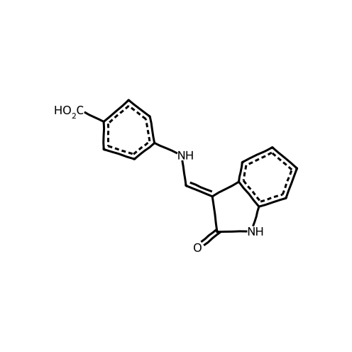 O=C1Nc2ccccc2C1=CNc1ccc(C(=O)O)cc1